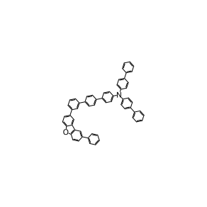 c1ccc(-c2ccc(N(c3ccc(-c4ccccc4)cc3)c3ccc(-c4ccc(-c5cccc(-c6ccc7oc8ccc(-c9ccccc9)cc8c7c6)c5)cc4)cc3)cc2)cc1